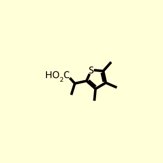 Cc1sc(C(C)C(=O)O)c(C)c1C